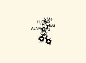 CN[C@@H](C)C(=O)N[C@H](C(=O)N1C[C@@H](NC(C)=O)C[C@H]1CN(CCc1ccccc1)C(=O)c1ccccc1)C(C)(C)C